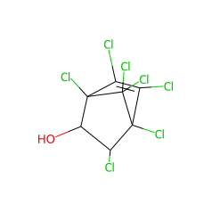 OC1C(Cl)C2(Cl)C(Cl)=C(Cl)C1(Cl)C2(Cl)Cl